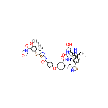 COc1cc(C)c(Sc2cnc(NC(=O)c3ccc(OC4CCCCC(C(=O)N[C@H](C(=O)N5C[C@H](O)C[C@H]5CN[C@@H](C)c5ccc(-c6scnc6C)cc5)C(C)(C)C)CC4)cc3)s2)cc1C(=O)N1CCOCC1